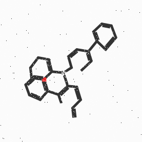 C=C/C=C\C(=C(/C)c1ccccc1)N(C/C=C\C(=C/C)c1ccccc1)C1=CCCC=C1